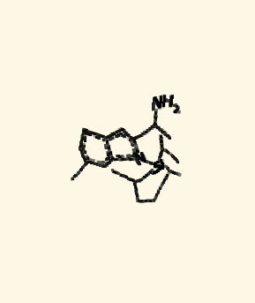 Cc1ccc2cc(C(C)N)n([Si]3(C(C)C)C(C)CCC3C)c2c1